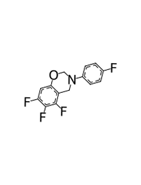 Fc1ccc(N2COc3cc(F)c(F)c(F)c3C2)cc1